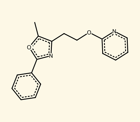 Cc1oc(-c2ccccc2)nc1CCOc1ccccn1